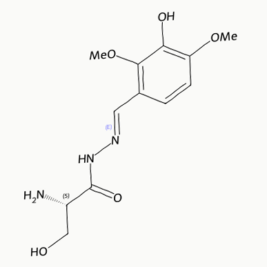 COc1ccc(/C=N/NC(=O)[C@@H](N)CO)c(OC)c1O